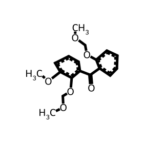 COCOc1ccccc1C(=O)c1cccc(OC)c1OCOC